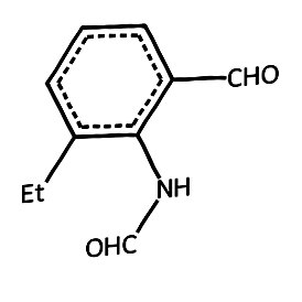 CCc1cccc(C=O)c1NC=O